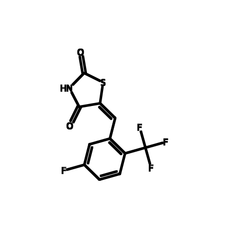 O=C1NC(=O)/C(=C\c2cc(F)ccc2C(F)(F)F)S1